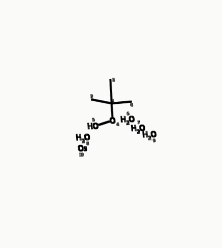 CC(C)(C)OO.O.O.O.O.[Os]